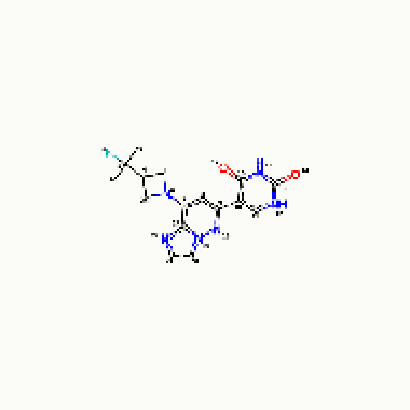 CC(C)(F)C1CN(c2cc(-c3c[nH]c(=O)[nH]c3=O)nn3ccnc23)C1